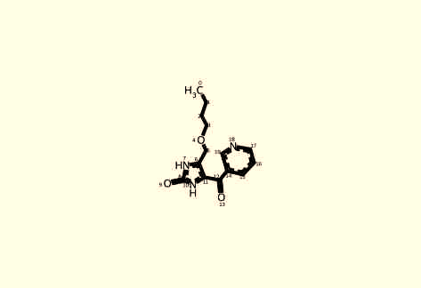 CCCCOCc1[nH]c(=O)[nH]c1C(=O)c1cccnc1